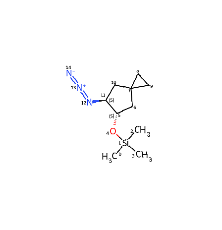 C[Si](C)(C)O[C@H]1CC2(CC2)C[C@@H]1N=[N+]=[N-]